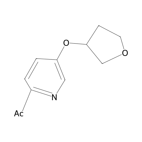 CC(=O)c1ccc(OC2CCOC2)cn1